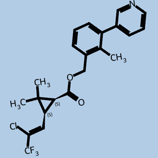 Cc1c(COC(=O)[C@H]2[C@@H](C=C(Cl)C(F)(F)F)C2(C)C)cccc1-c1cccnc1